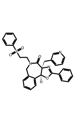 O=C1N(CCS(=O)(=O)c2ccccc2)Cc2ccccc2[C@@H]2OC(c3ccccc3)=N[C@]12Cc1cccnc1